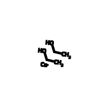 CCO.CCO.[Co]